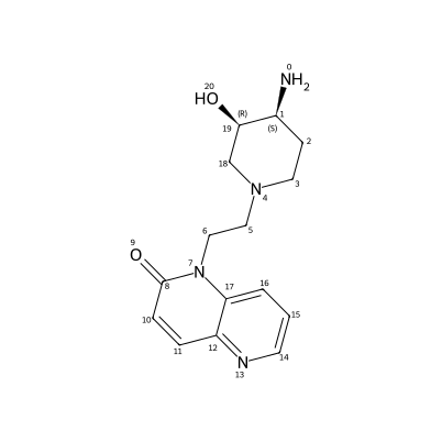 N[C@H]1CCN(CCn2c(=O)ccc3ncccc32)C[C@H]1O